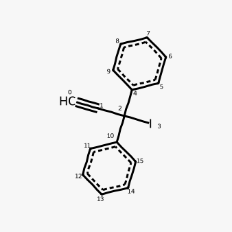 C#CC(I)(c1ccccc1)c1ccccc1